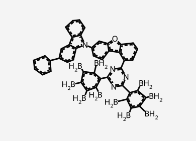 Bc1c(B)c(B)c(-c2nc(-c3c(B)c(B)c(B)c(B)c3B)nc(-c3cccc4oc5cc(-n6c7ccccc7c7cc(-c8ccccc8)ccc76)ccc5c34)n2)c(B)c1B